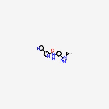 C[C@H]1C[C@@H]1n1cnnc1-c1cccc(NC(=O)c2cc(-c3cccnc3)ccn2)c1